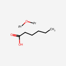 CC(C)OC(C)C.CCCCCC(=O)O